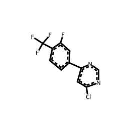 Fc1cc(-c2cc(Cl)ncn2)ccc1C(F)(F)F